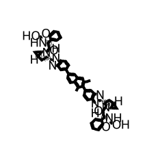 Cc1cc2cc(-c3ccc4[nH]c([C@@H]5C[C@H]6CC6N5C(=O)[C@H](NC(=O)O)c5ccccc5)nc4c3)ccc2c(C)c1-c1ccc2[nH]c([C@@H]3C[C@H]4CC4N3C(=O)[C@H](NC(=O)O)c3ccccc3)nc2c1